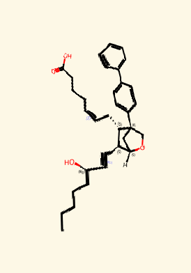 CCCCC[C@@H](O)/C=C/[C@@H]1[C@@H]2C[C@@](c3ccc(-c4ccccc4)cc3)(CO2)[C@H]1C/C=C\CCCC(=O)O